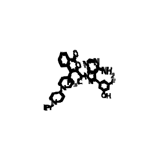 CC(C)N1CCC(N2CC=C(c3c(C(C)n4nc(-c5cc(O)cc(F)c5)c5c(N)ncnc54)oc(=O)c4ccccc34)CC2)CC1